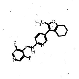 Cc1oc2c(c1-c1ccc(NCc3c(F)cncc3F)nc1)CCCC2